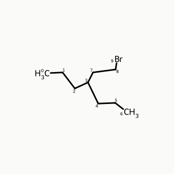 CCCC(CCC)CCBr